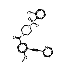 COc1ccc(C(=O)N2CCN(S(=O)(=O)c3ccccc3Cl)CC2)cc1C#Cc1ccccn1